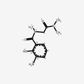 CN(C)C(=O)CN(C)C(=O)c1cccc(N)c1O